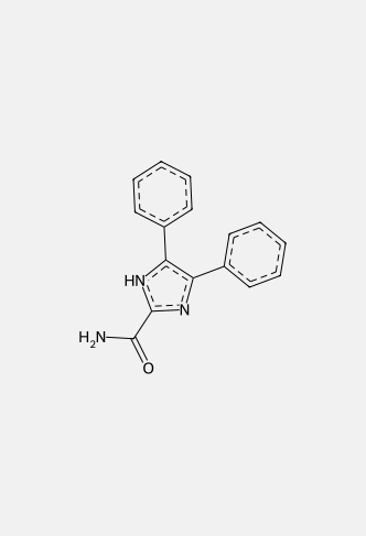 NC(=O)c1nc(-c2ccccc2)c(-c2ccccc2)[nH]1